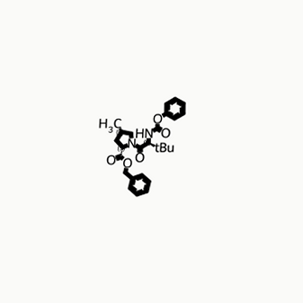 C[C@@H]1C[C@@H](C(=O)OCc2ccccc2)N(C(=O)[C@@H](NC(=O)Oc2ccccc2)C(C)(C)C)C1